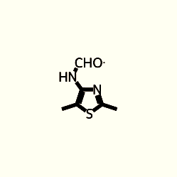 Cc1nc(N[C]=O)c(C)s1